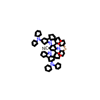 N#Cc1c(-n2c3ccccc3c3cc(N(c4ccccc4)c4ccccc4)ccc32)c(-c2ccccc2)c(N2c3ccccc3Sc3ccccc32)c(-c2ccccc2)c1-n1c2ccccc2c2cc(N(c3ccccc3)c3ccccc3)ccc21